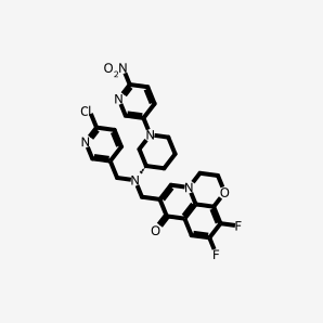 O=c1c(CN(Cc2ccc(Cl)nc2)[C@H]2CCCN(c3ccc([N+](=O)[O-])nc3)C2)cn2c3c(c(F)c(F)cc13)OCC2